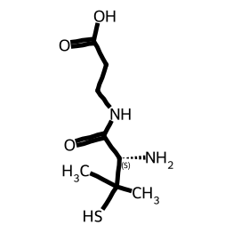 CC(C)(S)[C@@H](N)C(=O)NCCC(=O)O